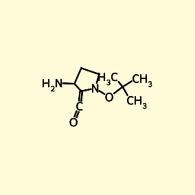 CC(C)(C)ON1CCC(N)C1=C=O